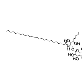 CCCCCCCCCCCCCCCCCCCCCCCCCC(=O)N[C@@H](CO[C@H]1O[C@H](CO)[C@H](O)[C@H](O)[C@H]1O)[C@H](O)[C@H](O)CCCCC